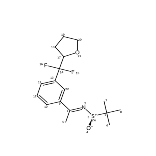 CC(=N[S@+]([O-])C(C)(C)C)c1cccc(C(F)(F)C2CCCO2)c1